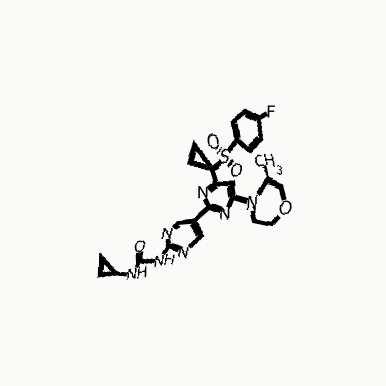 C[C@H]1COCCN1c1cc(C2(S(=O)(=O)c3ccc(F)cc3)CC2)nc(-c2cnc(NC(=O)NC3CC3)nc2)n1